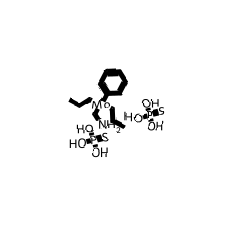 CC[CH2][Mo]([CH2]N)([CH2]CC)[c]1ccccc1.OP(O)(O)=S.OP(O)(O)=S